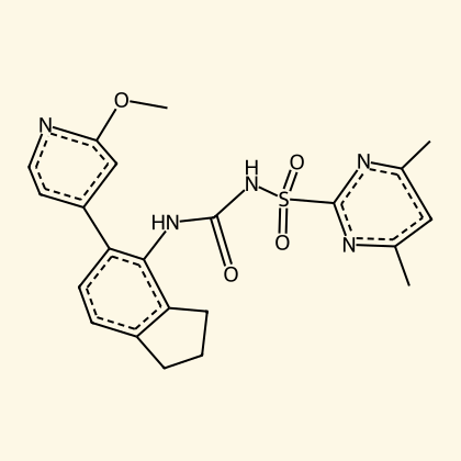 COc1cc(-c2ccc3c(c2NC(=O)NS(=O)(=O)c2nc(C)cc(C)n2)CCC3)ccn1